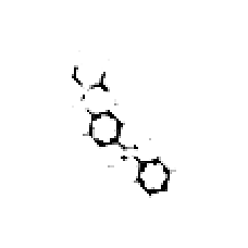 CCN(Oc1ccc(S(=O)(=O)c2ccccc2)cc1)C(=O)O